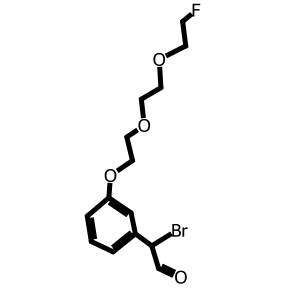 O=CC(Br)c1cccc(OCCOCCOCCF)c1